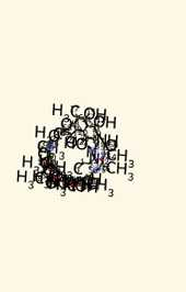 CCCN(CCC)/N=C/c1c2c(O)c3c(O)c(C)c4c(c3c1O)C(=O)[C@@](C)(O/C=C/[C@H](OC)[C@@H](C)[C@@H](OC(C)=O)[C@H](C)[C@H](O)[C@H](C)[C@@H](O)[C@@H](C)/C=C/C=C(/C)C(=O)N2)O4